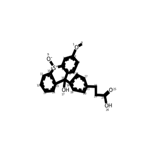 COc1ccc2c(c1)[S+]([O-])c1ccccc1C2(O)c1ccc(CCC(=O)O)cc1